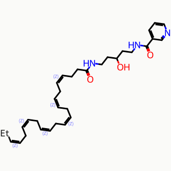 CC/C=C\C/C=C\C/C=C\C/C=C\C/C=C\C/C=C\CCC(=O)NCCC(O)CCNC(=O)c1cccnc1